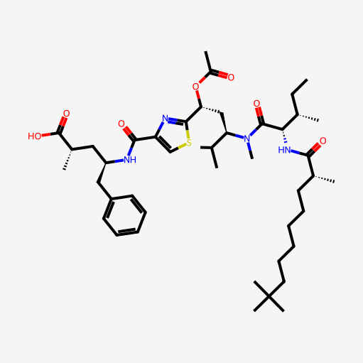 CC[C@H](C)[C@H](NC(=O)[C@H](C)CCCCCCC(C)(C)C)C(=O)N(C)[C@H](C[C@@H](OC(C)=O)c1nc(C(=O)N[C@@H](Cc2ccccc2)C[C@H](C)C(=O)O)cs1)C(C)C